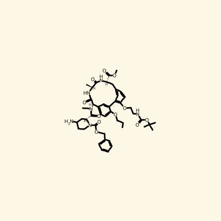 CCCOc1ccc2cc1-c1cc(ccc1OCCNC(=O)OC(C)(C)C)C[C@@H](C(=O)OC)NC(=O)[C@H](C)NC(=O)[C@H]2N(C)C(=O)[C@H]1CC(N)CCN1C(=O)OCc1ccccc1